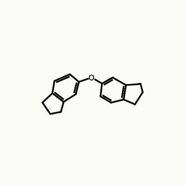 c1cc2c(cc1Oc1ccc3c(c1)CCC3)CCC2